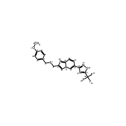 COc1ccc(CSCc2cn3cc(-c4noc(C(F)(F)F)n4)ccc3n2)cc1